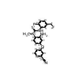 CN(C(=S)Nc1cc(CF)ccc1F)c1ccc(Oc2ccnc(C#N)c2)cc1N